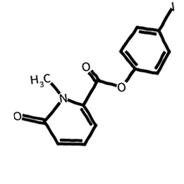 Cn1c(C(=O)Oc2ccc(I)cc2)cccc1=O